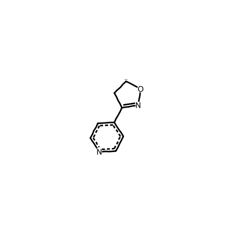 [C]1CC(c2ccncc2)=NO1